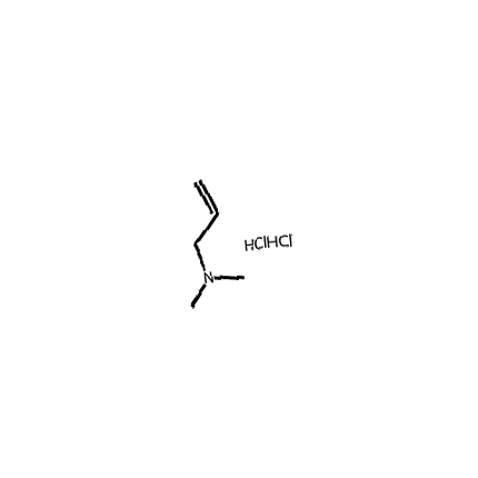 C=CCN(C)C.Cl.Cl